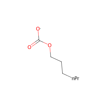 CCCCCCOC([O])=O